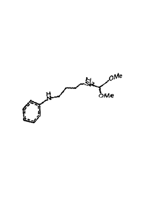 COC(OC)[SiH2]CCCNc1ccccc1